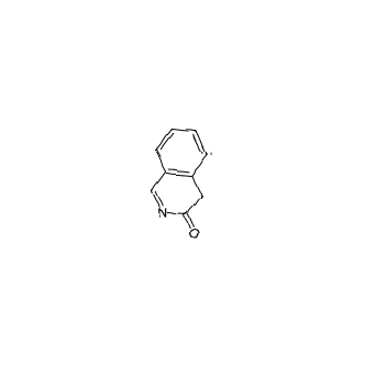 O=C1Cc2[c]cccc2C=N1